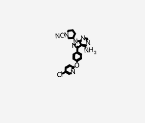 N#CN1CCCC(n2nc(-c3ccc(Oc4ccc(Cl)cn4)cc3)c3c(N)ncnc32)C1